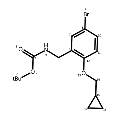 CC(C)(C)OC(=O)NCc1cc(Br)ccc1OCC1CC1